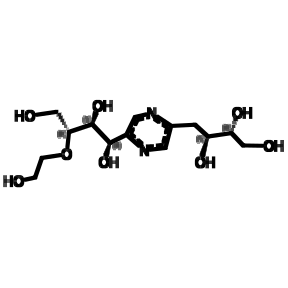 OCCO[C@H](CO)[C@@H](O)[C@H](O)c1cnc(C[C@H](O)[C@H](O)CO)cn1